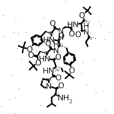 CC[C@@H](C)NC(=O)C(NC(=O)CNC(=O)[C@H](Cc1ccc(OC(C)(C)C)cc1)NC(=O)[C@H](Cc1ccc(OC(C)(C)C)cc1)NC(=O)[C@H](CC(=O)OC(C)(C)C)NC(=O)[C@H](CC)NC(=O)[C@@H]1CCCN1C(=O)[C@@H](N)CC(C)C)[C@@H](C)OC(C)(C)C